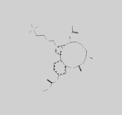 COC(=O)Nc1ccc2c(c1)NC(=O)C[C@H](C)CCC[C@H](NC(=O)O)c1nc-2cn1COCC[Si](C)(C)C